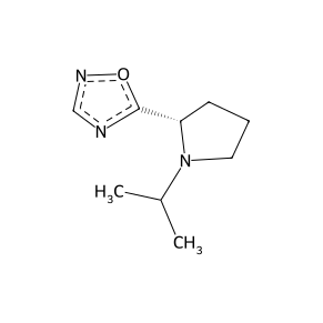 CC(C)N1CCC[C@H]1c1ncno1